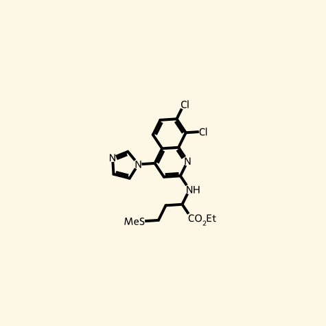 CCOC(=O)C(CCSC)Nc1cc(-n2ccnc2)c2ccc(Cl)c(Cl)c2n1